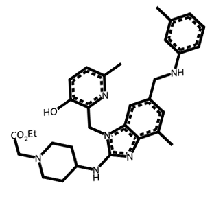 CCOC(=O)CN1CCC(Nc2nc3c(C)cc(CNc4cccc(C)c4)cc3n2Cc2nc(C)ccc2O)CC1